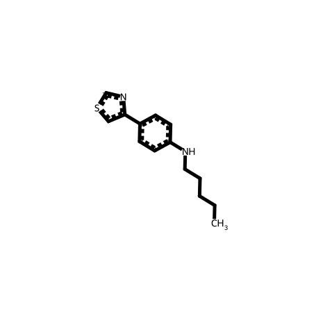 CCCCCNc1ccc(-c2cs[c]n2)cc1